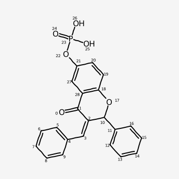 O=C1C(=Cc2ccccc2)C(c2ccccc2)Oc2ccc(OP(=O)(O)O)cc21